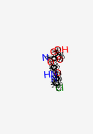 N#Cc1cc2c(cc1Oc1ccc(C(=O)Nc3ccc4cc(Cl)ccc4n3)cc1)OCCC2C(=O)O